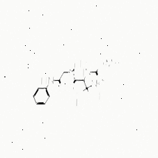 CCCN(CC(=O)Nc1ccccc1)C(=O)[C@@H](NC(=O)OC)C(C)(C)N=O